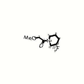 COCC(=O)N1CCC[C@H](F)C1